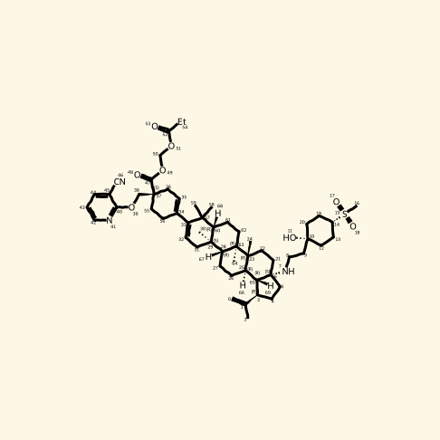 C=C(C)[C@@H]1CC[C@]2(NCC[C@]3(O)CC[C@@H](S(C)(=O)=O)CC3)CC[C@]3(C)[C@H](CC[C@@H]4[C@@]5(C)CC=C(C6=CC[C@@](COc7ncccc7C#N)(C(=O)OCOC(=O)CC)CC6)C(C)(C)[C@@H]5CC[C@]43C)[C@@H]12